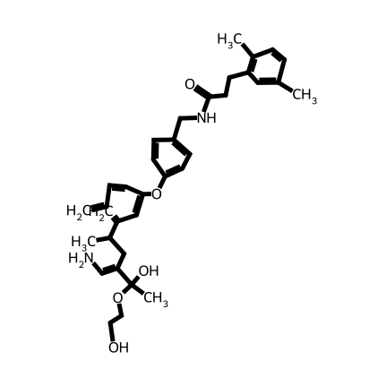 C=C/C=C\C(=C/C(=C)C(C)C/C(=C\N)C(C)(O)OCCO)Oc1ccc(CNC(=O)CCc2cc(C)ccc2C)cc1